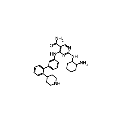 NC(=O)c1cnc(N[C@@H]2CCCC[C@@H]2N)nc1Nc1cccc(-c2ccccc2C2CCNCC2)c1